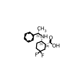 C[C@H](N[C@H]1CCC(F)(F)C[C@H]1C(=O)O)c1ccccc1